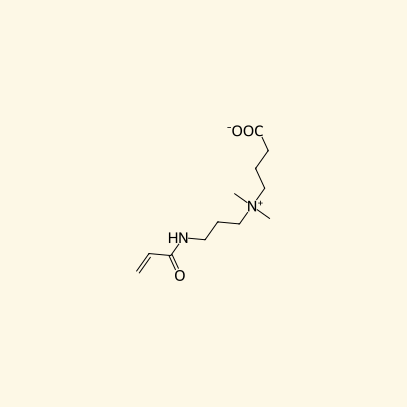 C=CC(=O)NCCC[N+](C)(C)CCCC(=O)[O-]